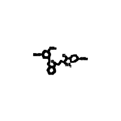 COc1cc(COc2ccccc2C(=O)CCC(N)C(Cl)N2CCC(OC)CC2)cc(OC)c1